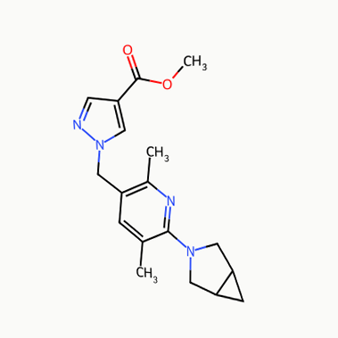 COC(=O)c1cnn(Cc2cc(C)c(N3CC4CC4C3)nc2C)c1